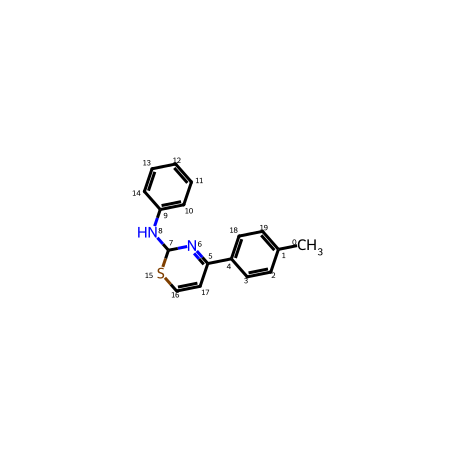 Cc1ccc(C2=NC(Nc3ccccc3)SC=C2)cc1